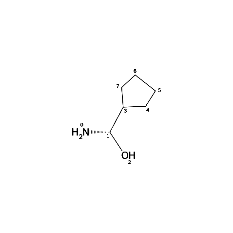 N[C@@H](O)C1CCCC1